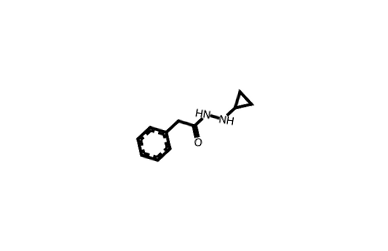 O=C(Cc1ccccc1)NNC1CC1